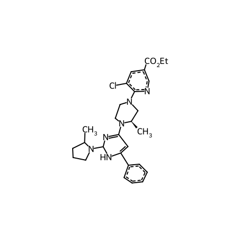 CCOC(=O)c1cnc(N2CCN(C3=NC(N4CCCC4C)NC(c4ccccc4)=C3)[C@H](C)C2)c(Cl)c1